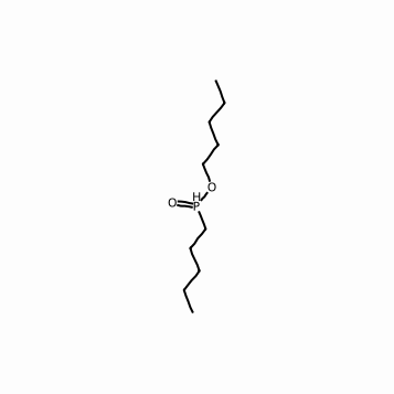 CCCCCO[PH](=O)CCCCC